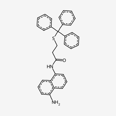 Nc1cccc2c(NC(=O)CCSC(c3ccccc3)(c3ccccc3)c3ccccc3)cccc12